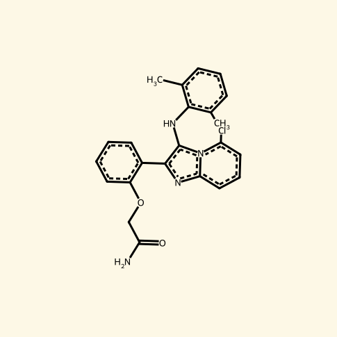 Cc1cccc(C)c1Nc1c(-c2ccccc2OCC(N)=O)nc2cccc(Cl)n12